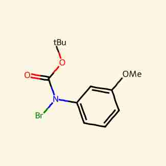 COc1cccc(N(Br)C(=O)OC(C)(C)C)c1